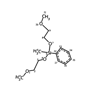 COCCO[Si](C)(OCCOC)c1ccccc1